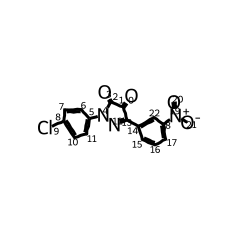 O=C1C(=O)N(c2ccc(Cl)cc2)N=C1c1cccc([N+](=O)[O-])c1